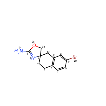 NC1=NC2(CCc3ccc(Br)cc3C2)CO1